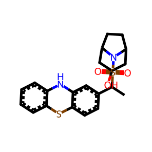 CC(c1ccc2c(c1)Nc1ccccc1S2)S(=O)(=O)N1C2CCC1CC(O)C2